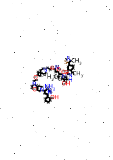 Cc1ncsc1-c1ccc([C@H](C)NC(=O)[C@@H]2C[C@@H](O)CN2C(=O)[C@H](c2cc(OCCN3CCC4(CC3)CC(OCCN3CCOC5(CCN(c6cc(-c7ccccc7O)nnc6N)CC5)C3)C4)no2)C(C)C)cc1